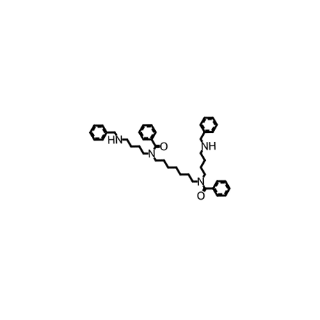 O=C(c1ccccc1)N(CCCCCCCN(CCCCNCc1ccccc1)C(=O)c1ccccc1)CCCCNCc1ccccc1